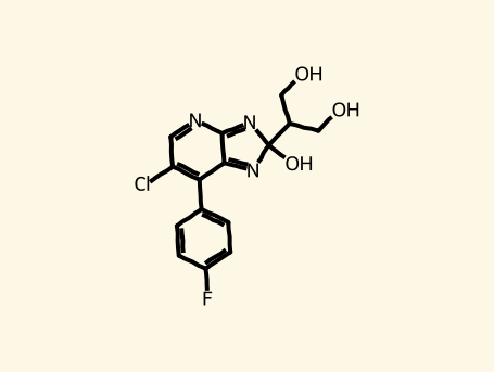 OCC(CO)C1(O)N=c2ncc(Cl)c(-c3ccc(F)cc3)c2=N1